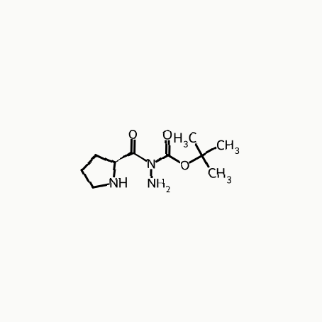 CC(C)(C)OC(=O)N(N)C(=O)[C@@H]1CCCN1